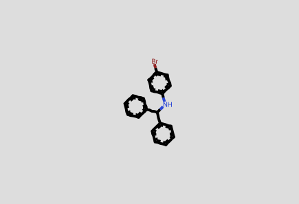 Brc1ccc(NC(c2ccccc2)c2ccccc2)cc1